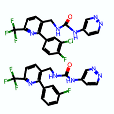 O=C(NCc1ccc(C(F)(F)F)nc1-c1ccc(F)c(Cl)c1)Nc1ccnnc1.O=C(NCc1ccc(C(F)(F)F)nc1-c1cccc(F)c1)Nc1ccnnc1